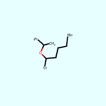 CCC(CCCC(C)(C)C)OC(C)C(C)C